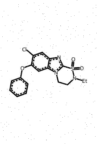 CCN1CCn2c(nc3cc(Cl)c(Oc4ccccc4)cc32)S1(=O)=O